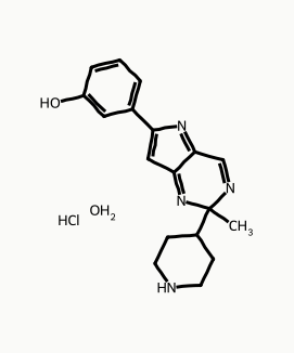 CC1(C2CCNCC2)N=CC2=NC(c3cccc(O)c3)=CC2=N1.Cl.O